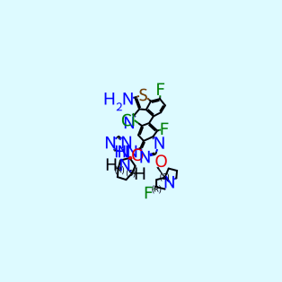 N#Cc1c(N)sc2c(F)ccc(-c3c(Cl)cc4c(NC5C[C@H]6CC[C@@H](C5)N6C(=O)n5cncn5)nc(OC[C@@]56CCCN5C[C@H](F)C6)nc4c3F)c12